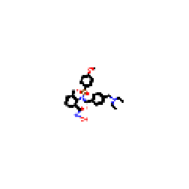 CCN(CC)Cc1ccc(CN(c2c(C)cccc2C(=O)NO)S(=O)(=O)c2ccc(OC)cc2)cc1